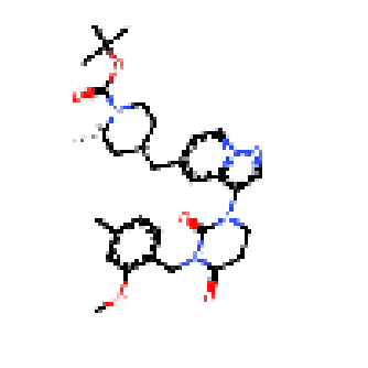 COc1cc(C)ccc1CN1C(=O)CCN(c2cnn3ccc(C[C@@H]4CCN(C(=O)OC(C)(C)C)[C@@H](C)C4)cc23)C1=O